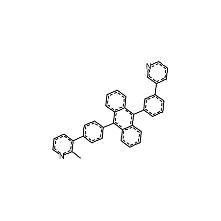 Cc1ncccc1-c1ccc(-c2c3ccccc3c(-c3cccc(-c4cccnc4)c3)c3ccccc23)cc1